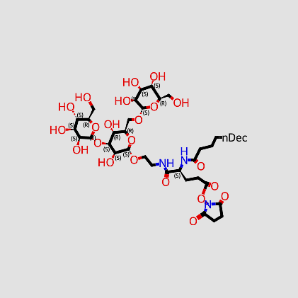 CCCCCCCCCCCCCC(=O)N[C@@H](CCC(=O)ON1C(=O)CCC1=O)C(=O)NCCO[C@H]1O[C@H](CO[C@H]2O[C@H](CO)[C@@H](O)[C@H](O)[C@@H]2O)[C@@H](O)[C@H](O[C@H]2O[C@H](CO)[C@@H](O)[C@H](O)[C@@H]2O)[C@@H]1O